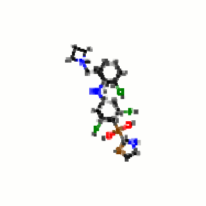 O=S(=O)(c1n[c]cs1)c1c(F)cc(Nc2c(Cl)cccc2CN2CCC2)cc1F